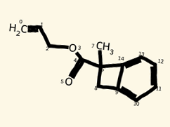 C=CCOC(=O)C1(C)Cc2ccccc21